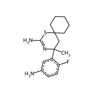 CC1(c2cc(N)ccc2F)CC2(CCCCC2)SC(N)=N1